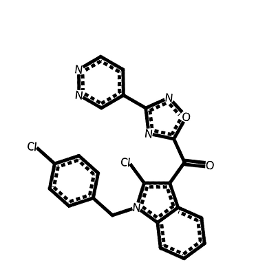 O=C(c1nc(-c2ccnnc2)no1)c1c(Cl)n(Cc2ccc(Cl)cc2)c2ccccc12